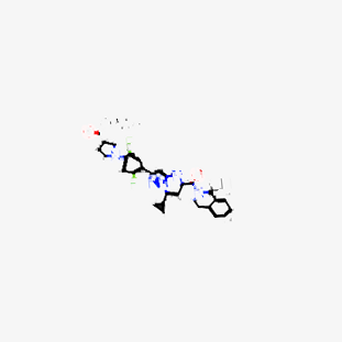 COC(=O)[C@H]1CCN(c2cc(F)c(-c3cc4nc(C(=O)N5CCc6ccccc6[C@H]5C)cc(C5CC5)n4n3)cc2F)C1